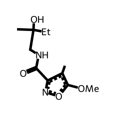 CCC(C)(O)CNC(=O)c1noc(OC)c1C